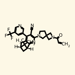 C=CC(=O)N1CC2(CCN(c3nc4c(c(-c5cncc(C(F)(F)F)c5)c3C#N)C[C@H]3C[C@@H]4C3(C)C)C2)C1